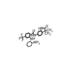 CC1(C)C(=O)Nc2cc(NC(=O)c3ccc(C(F)(F)F)cc3N[C@H]3CCCC[C@@H]3N)ccc21